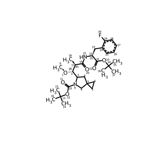 CO[C@@H](C1CC2(CC2)CN1C(=O)OC(C)(C)C)[C@@H](C)C(=O)N[C@@H](Cc1ccccc1F)C(=O)OC(C)(C)C